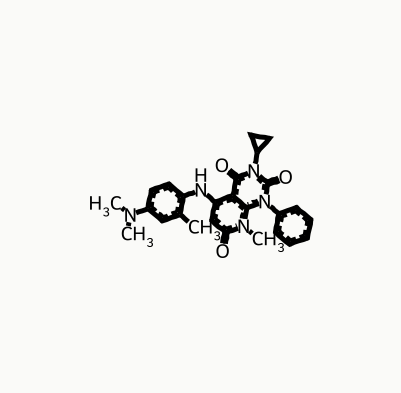 Cc1cc(N(C)C)ccc1Nc1cc(=O)n(C)c2c1c(=O)n(C1CC1)c(=O)n2-c1ccccc1